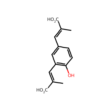 C/C(=C\c1ccc(O)c(/C=C(\C)C(=O)O)c1)C(=O)O